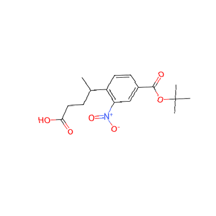 CC(CCC(=O)O)c1ccc(C(=O)OC(C)(C)C)cc1[N+](=O)[O-]